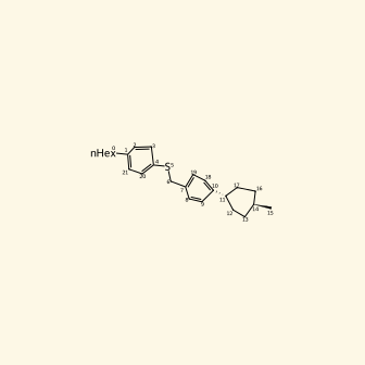 CCCCCCc1ccc(SCc2ccc([C@H]3CC[C@H](C)CC3)cc2)cc1